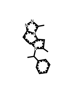 Cc1cc2c(ccc3nnc(C)n32)n1C(C)c1ccccc1